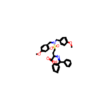 COc1ccc(CN(Cc2ccc(OC)cc2)S(=O)(=O)CCC(N=C(c2ccccc2)c2ccccc2)C(=O)O)cc1